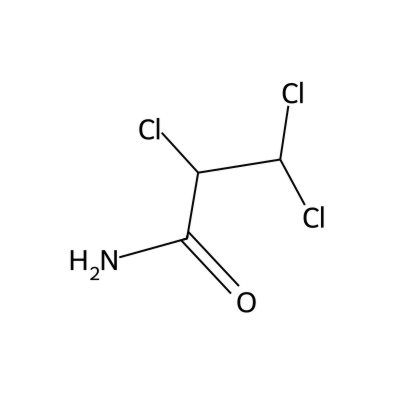 NC(=O)C(Cl)C(Cl)Cl